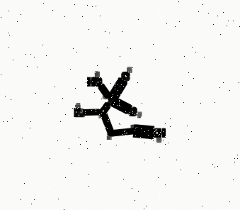 C#CCC(CC)S(=O)(=O)O